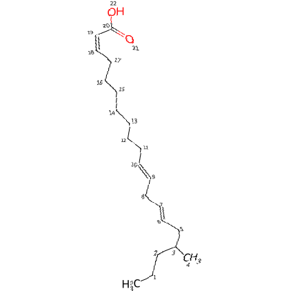 CCCC(C)CC=CCC=CCCCCCCC/C=C\C(=O)O